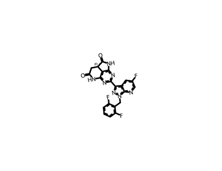 C[C@@]12CC(=O)Nc3nc(-c4nn(Cc5c(F)cccc5F)c5ncc(F)cc45)nc(c31)NC2=O